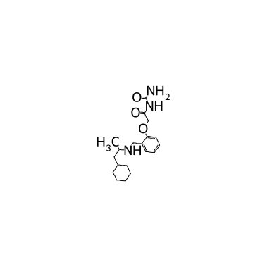 CC(CC1CCCCC1)NCc1ccccc1OCC(=O)NC(N)=O